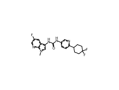 Cn1cc(NC(=O)Nc2ccc(C3CCC(F)(F)CC3)nc2)c2cc(F)cnc21